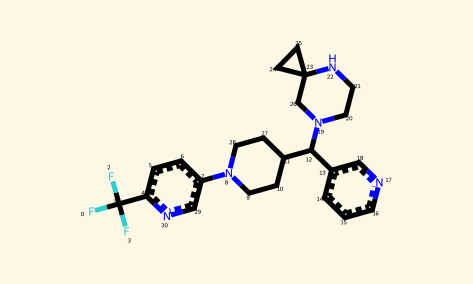 FC(F)(F)c1ccc(N2CCC(C(c3cccnc3)N3CCNC4(CC4)C3)CC2)cn1